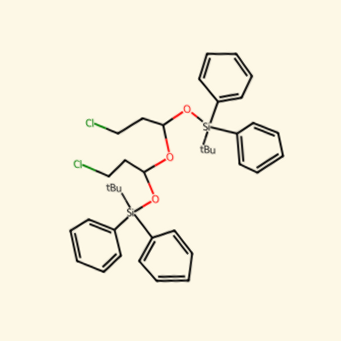 CC(C)(C)[Si](OC(CCCl)OC(CCCl)O[Si](c1ccccc1)(c1ccccc1)C(C)(C)C)(c1ccccc1)c1ccccc1